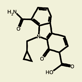 NC(=O)c1cccc2c3c(n(CC4CC4)c12)C(=O)C(C(=O)O)C=C3